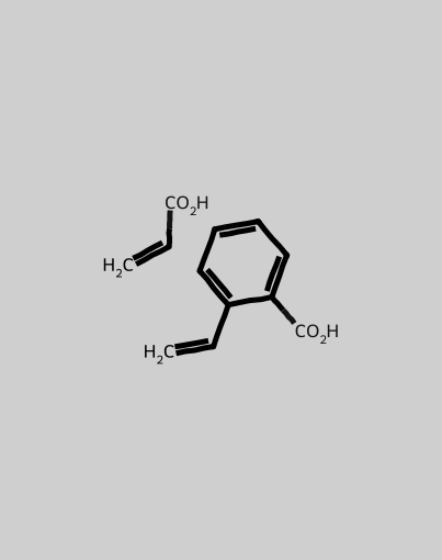 C=CC(=O)O.C=Cc1ccccc1C(=O)O